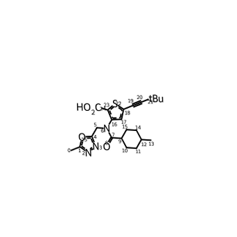 Cc1nnc(CN(C(=O)C2CCC(C)CC2)c2cc(C#CC(C)(C)C)sc2C(=O)O)o1